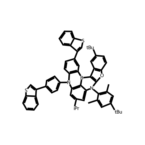 Cc1cc(C(C)(C)C)cc(C)c1N1c2cc(C(C)C)cc3c2B(c2cc(-c4csc5ccccc45)ccc2N3c2ccc(-c3csc4ccccc34)cc2)c2c1oc1ccc(C(C)(C)C)cc21